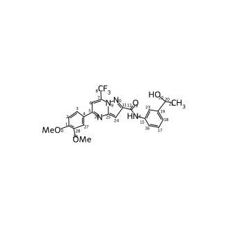 COc1ccc(-c2cc(C(F)(F)F)n3nc(C(=O)Nc4cccc(C(C)O)c4)cc3n2)cc1OC